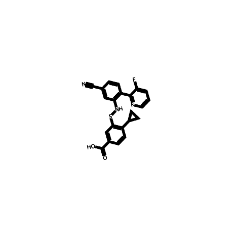 N#Cc1ccc(-c2ncccc2F)c(NSc2cc(C(=O)O)ccc2C2CC2)c1